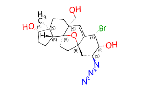 C[C@]12CC[C@@]3(CO)C=C4[C@H](Br)[C@H](O)[C@@H](N=[N+]=[N-])C[C@]45CC[C@]3(O5)[C@@H]1CC[C@@H]2O